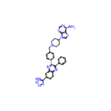 Nc1ncnc2c1ncn2C1CCN(Cc2ccc(-c3nc4cc(-c5nnn[nH]5)ccc4nc3-c3ccccc3)cc2)CC1